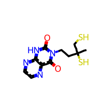 CC(S)(CS)CCn1c(=O)[nH]c2nccnc2c1=O